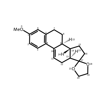 COc1ccc2c(c1)CC[C@@H]1C2=CC[C@H]2[C@H]1CCC21OCCO1